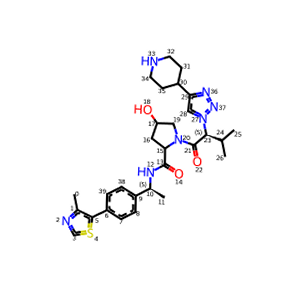 Cc1ncsc1-c1ccc([C@H](C)NC(=O)C2CC(O)CN2C(=O)[C@H](C(C)C)n2cc(C3CCNCC3)nn2)cc1